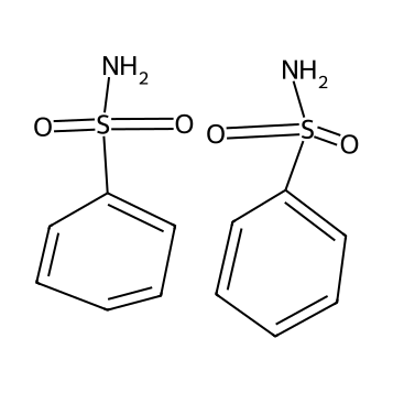 NS(=O)(=O)c1ccccc1.NS(=O)(=O)c1ccccc1